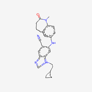 CN1C(=O)CCc2cc(Nc3cc4c(cc3C#N)ncn4CC3CC3)ccc21